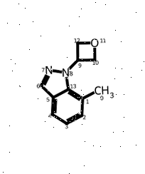 Cc1cccc2cnn(C3COC3)c12